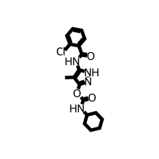 Cc1c(OC(=O)NC2CCCCC2)n[nH]c1NC(=O)c1ccccc1Cl